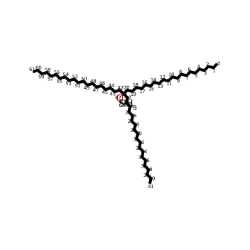 CCCCCCCCCCCCCCCCCCCCCC(CCCCCCCCCCCCCCCCCCCC)(CCCCCCCCCCCCCCCCCCCC)O[SiH3]